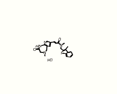 Cc1c(CN(C)C(=O)C=Cc2cnc3c(c2)CN(C)CC(=O)N3)sc2ccccc12.Cl